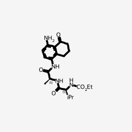 CCOC(=O)N[C@H](C(=O)N[C@@H](C)C(=O)Nc1ccc(N)c2c1CCCC2=O)C(C)C